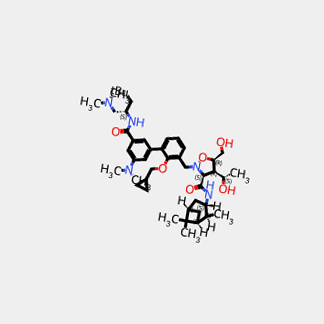 C[C@@H]1[C@@H](NC(=O)[C@@H]2[C@H]([C@H](C)O)[C@H](CO)ON2Cc2cccc(-c3cc(C(=O)N[C@H](CN(C)C)CC(C)(C)C)cc(N(C)C)c3)c2OCC2CC2)C[C@H]2C[C@@H]1C2(C)C